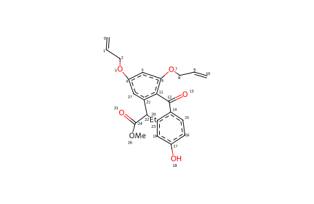 C=CCOc1cc(OCC=C)c(C(=O)c2ccc(O)cc2)c(C(CC)C(=O)OC)c1